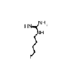 N=C(N)NCCCCI